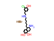 Br.Br.NC1CCc2c(ccc(O)c2O)C1CCCCCCNCCc1ccc(O)c(Cl)c1